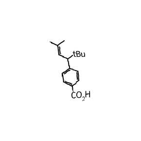 CC(C)=CC(c1ccc(C(=O)O)cc1)C(C)(C)C